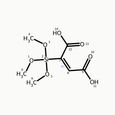 CO[Si](OC)(OC)/C(=C/C(=O)O)C(=O)O